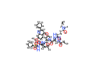 C#CCN(C)C(=O)CCCC(=O)N[C@@H](CNC(=O)C=C)C(=O)N1CC(Oc2cc(-c3ccccc3)nc3cc(OC)ccc23)C[C@H]1C(=O)N[C@]1(C(=O)NS(=O)(=O)c2ccccc2)C[C@H]1C=C